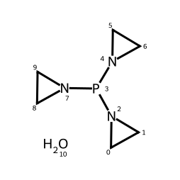 C1CN1P(N1CC1)N1CC1.O